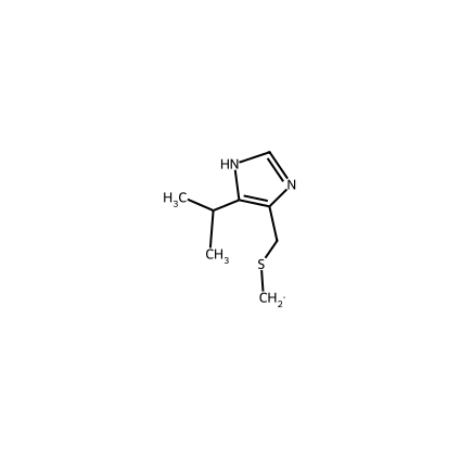 [CH2]SCc1nc[nH]c1C(C)C